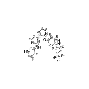 O=S(=O)(CCC(F)(F)F)Nc1c(F)cc(Oc2ncccc2-c2ccnc(NC3CNC[C@@H](F)C3)n2)c(F)c1F